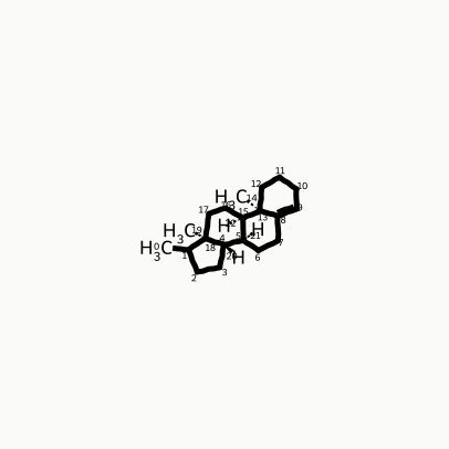 CC1CC[C@H]2[C@@H]3CCC4=CCCC[C@]4(C)[C@@H]3CC[C@]12C